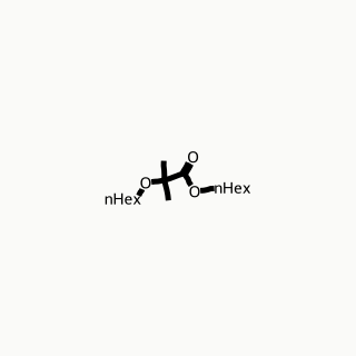 CCCCCCOC(=O)C(C)(C)OCCCCCC